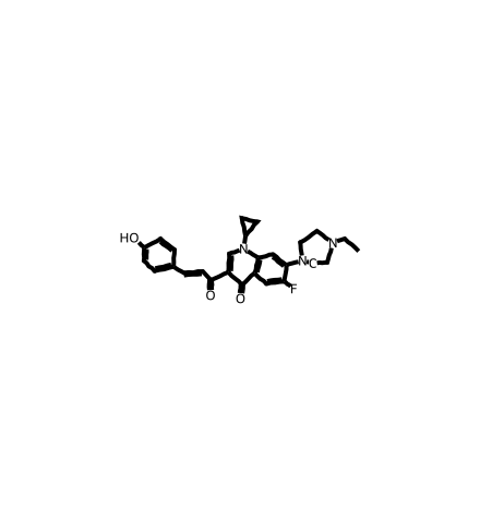 CCN1CCN(c2cc3c(cc2F)c(=O)c(C(=O)/C=C/c2ccc(O)cc2)cn3C2CC2)CC1